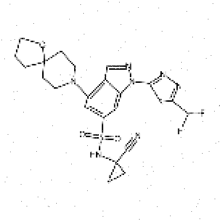 N#CC1(NS(=O)(=O)c2cc(N3CCC4(CCCO4)CC3)c3cnn(-c4nnc(C(F)F)s4)c3c2)CC1